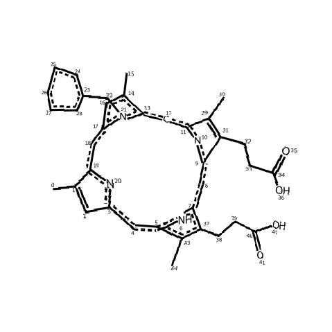 CC1=Cc2cc3[nH]c(cc4nc(cc5c(C)cc(cc1n2)n5Cc1ccccc1)C(C)=C4CCC(=O)O)c(CCC(=O)O)c3C